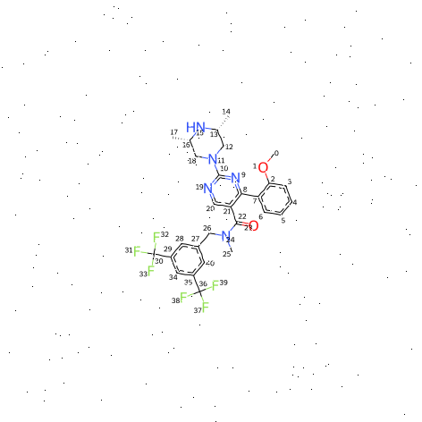 COc1ccccc1-c1nc(N2C[C@@H](C)N[C@@H](C)C2)ncc1C(=O)N(C)Cc1cc(C(F)(F)F)cc(C(F)(F)F)c1